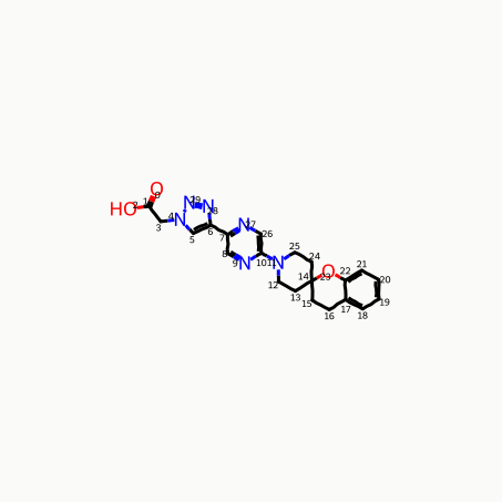 O=C(O)Cn1cc(-c2cnc(N3CCC4(CCc5ccccc5O4)CC3)cn2)nn1